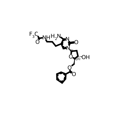 Nc1nc(=O)n([C@H]2C[C@H](O)[C@@H](COC(=O)c3ccccc3)O2)cc1CCCNC(=O)C(F)(F)F